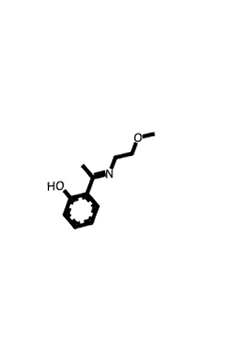 COCC/N=C(\C)c1ccccc1O